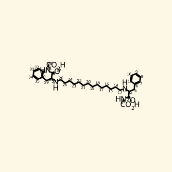 O=C(O)NC(=O)C(Cc1ccccc1)NCCCCCCCCCCCCCCNC(Cc1ccccc1)C(=O)NC(=O)O